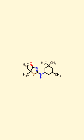 CCC1(C)SC(NC2CC(C)CC(C)(C)C2)=NC1=O